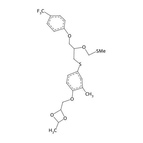 CSCOC(COc1ccc(C(F)(F)F)cc1)CSc1ccc(OCC2OC(C)O2)c(C)c1